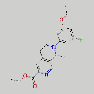 CCOC(=O)c1cc2c(cn1)[C@@H](C)N(c1cc(F)cc(OCC)c1)CC2